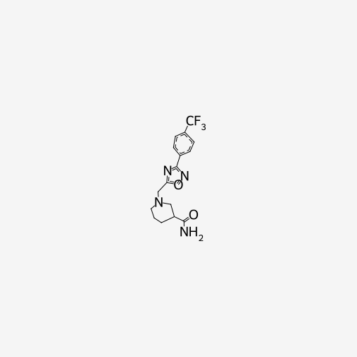 NC(=O)C1CCCN(Cc2nc(-c3ccc(C(F)(F)F)cc3)no2)C1